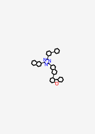 c1ccc(-c2cccc(-c3nc(-c4ccc5ccccc5c4)nc(-c4ccc5ccc(-c6cccc7oc8ccccc8c67)cc5c4)n3)c2)cc1